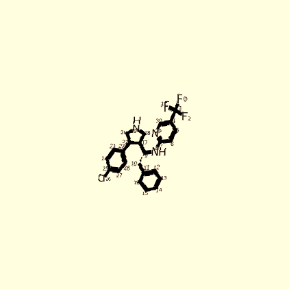 FC(F)(F)c1ccc(N[C@H](Cc2ccccc2)C2CNCC2c2ccc(Cl)cc2)nc1